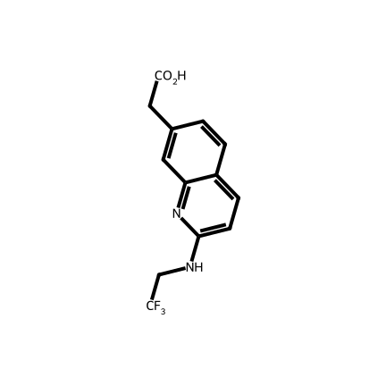 O=C(O)Cc1ccc2ccc(NCC(F)(F)F)nc2c1